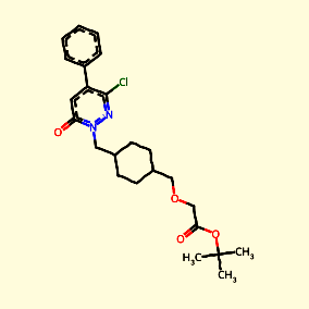 CC(C)(C)OC(=O)COCC1CCC(Cn2nc(Cl)c(-c3ccccc3)cc2=O)CC1